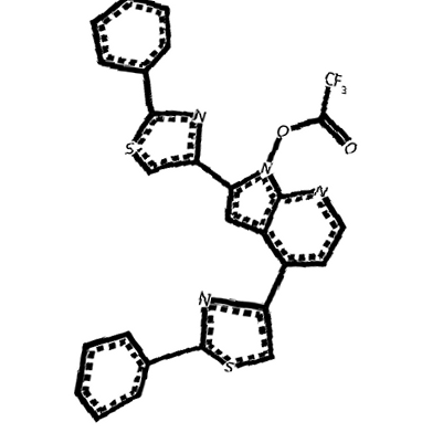 O=C(On1c(-c2csc(-c3ccccc3)n2)cc2c(-c3csc(-c4ccccc4)n3)ccnc21)C(F)(F)F